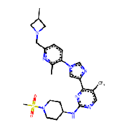 Cc1nc(CN2CC(C)C2)ccc1-n1cnc(-c2nc(NC3CCN(S(C)(=O)=O)CC3)ncc2C(F)(F)F)c1